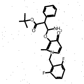 Cc1c(OC(N)C(C(=O)OC(C)(C)C)c2ccccc2)c(=O)ccn1Cc1c(F)cccc1F